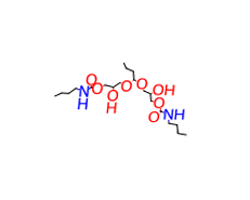 CCCCNC(=O)OCC(O)COC(CCC)OCC(O)COC(=O)NCCCC